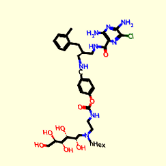 CCCCCCN(CCNC(=O)Oc1ccc(CNC[C@H](CNC(=O)c2nc(Cl)c(N)nc2N)Cc2ccccc2C)cc1)C[C@H](O)[C@@H](O)[C@H](O)[C@H](O)CO